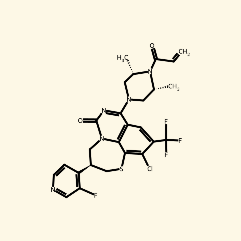 C=CC(=O)N1[C@H](C)CN(c2nc(=O)n3c4c(c(Cl)c(C(F)(F)F)cc24)SC[C@@H](c2ccncc2F)C3)C[C@@H]1C